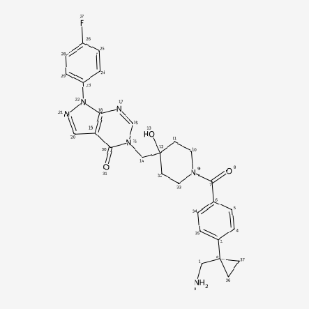 NCC1(c2ccc(C(=O)N3CCC(O)(Cn4cnc5c(cnn5-c5ccc(F)cc5)c4=O)CC3)cc2)CC1